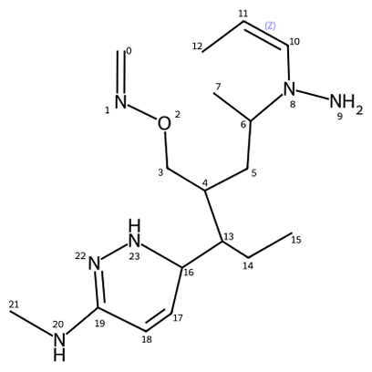 C=NOCC(CC(C)N(N)/C=C\C)C(CC)C1C=CC(NC)=NN1